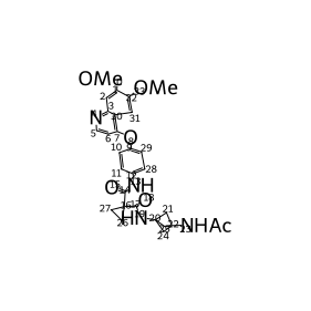 COc1cc2nccc(Oc3ccc(NC(=O)C4(C(=O)NC56CC(NC(C)=O)(C5)C6)CC4)cc3)c2cc1OC